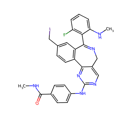 CNC(=O)c1ccc(Nc2ncc3c(n2)-c2ccc(CI)cc2C(c2c(F)cccc2NC)=NC3)cc1